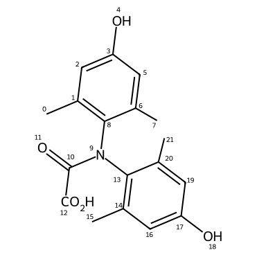 Cc1cc(O)cc(C)c1N(C(=O)C(=O)O)c1c(C)cc(O)cc1C